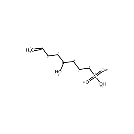 C=CCCC(O)CCCS(=O)(=O)O